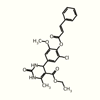 CCOC(=O)C1=C(C)NC(=O)NC1c1cc(Cl)c(OC(=O)/C=C/c2ccccc2)c(OC)c1